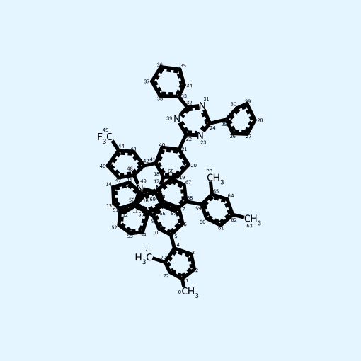 Cc1ccc(-c2ccc3c(c2)c2ccccc2n3-c2ccc(-c3nc(-c4ccccc4)nc(-c4ccccc4)n3)cc2-c2cc(C(F)(F)F)ccc2-n2c3ccccc3c3cc(-c4ccc(C)cc4C)ccc32)c(C)c1